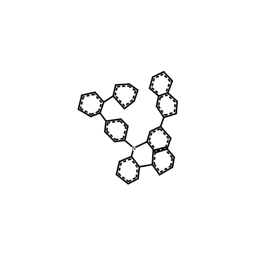 c1ccc(-c2ccccc2-c2ccc(N(c3cccc(-c4ccc5ccccc5c4)c3)c3ccccc3-c3ccccc3)cc2)cc1